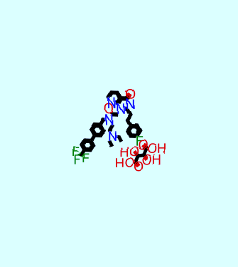 CCN(CC)CCN(Cc1ccc(-c2ccc(C(F)(F)F)cc2)cc1)C(=O)Cn1c(CCc2ccc(F)cc2)nc(=O)c2cccnc21.O=C(O)C(O)C(O)C(=O)O